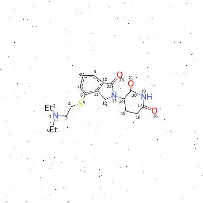 CCN(CC)CCSc1cccc2c1CN(C1CCC(=O)NC1=O)C2=O